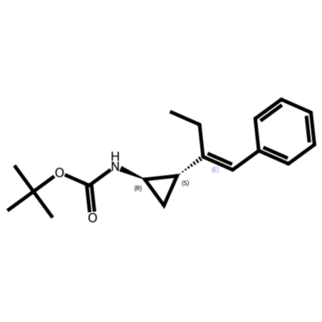 CC/C(=C\c1ccccc1)[C@@H]1C[C@H]1NC(=O)OC(C)(C)C